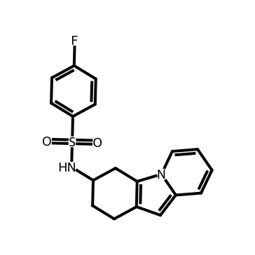 O=S(=O)(NC1CCc2cc3ccccn3c2C1)c1ccc(F)cc1